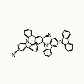 N#Cc1ccc2c(c1)c1ccccc1n2-c1ccccc1-c1ccc(-n2c3ccccc3c3cc(-n4c5ccccc5c5ccccc54)ccc32)c(C#N)c1